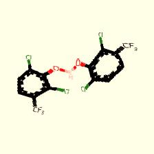 FC(F)(F)c1ccc(Cl)c(OBOc2c(Cl)ccc(C(F)(F)F)c2Cl)c1Cl